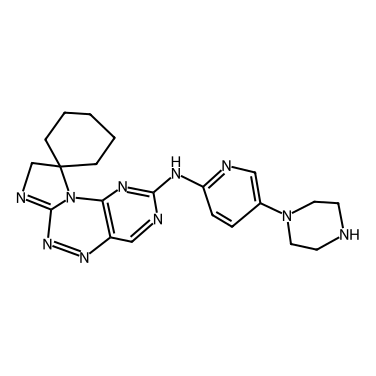 c1cc(Nc2ncc3c(n2)N2C(=NCC24CCCCC4)N=N3)ncc1N1CCNCC1